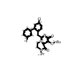 CCCCOc1c2n(c(Cc3ccc(Cl)cc3-c3cccc(F)c3)nc1=O)CCN(C(C)C)C2=O